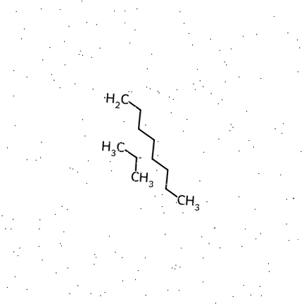 C[CH]C.[CH2]CCCCCCC